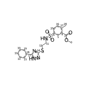 COC(=O)c1cc(S(=O)(=O)NCCSc2n[nH]c(-c3ccccc3)n2)ccc1C